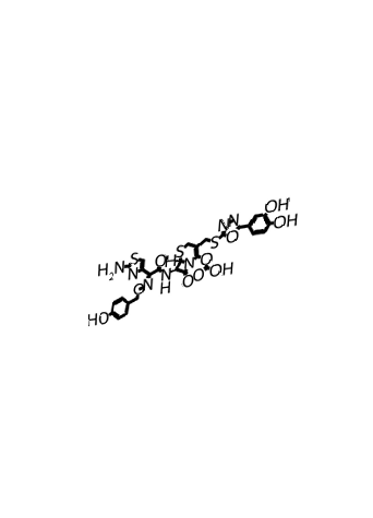 Nc1nc(C(=NOCc2ccc(O)cc2)C(=O)N[C@@H]2C(=O)N3C(OC(=O)O)=C(CSc4nnc(-c5ccc(O)c(O)c5)o4)CS[C@@H]23)cs1